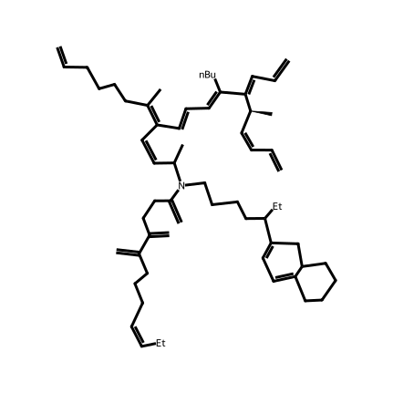 C=C/C=C\[C@H](C)C(=C\C=C)/C(=C/C=C/C(/C=C\C(C)N(CCCCC(CC)C1=CC=C2CCCCC2C1)C(=C)CCC(=C)C(=C)CCC/C=C\CC)=C(\C)CCCCC=C)CCCC